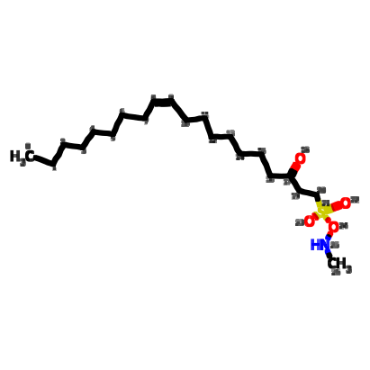 CCCCCCCC/C=C\CCCCCCCC(=O)CCS(=O)(=O)ONC